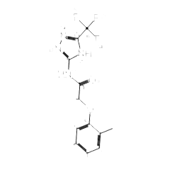 Cc1ccccc1OCC(=O)Nc1nnc(C(F)(F)F)[nH]1